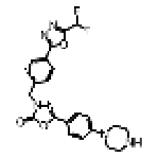 O=c1oc(-c2ccc(N3CCNCC3)cc2)nn1Cc1ccc(-c2nnc(C(F)F)o2)cn1